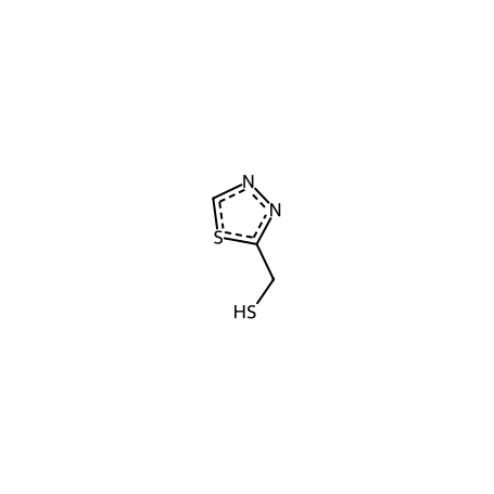 SCc1nncs1